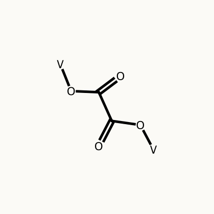 O=C([O][V])C(=O)[O][V]